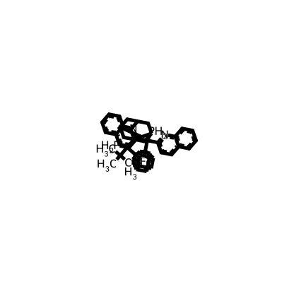 CC(C)(C)C(P)(C12CC3CC(CC(C3)C1)C2)[C]12[CH]3[CH]4[CH]5[C]1(C(P)(c1ccc6ccccc6n1)c1ccc6ccccc6n1)[Fe]45321678[CH]2[CH]1[CH]6[CH]7[CH]28